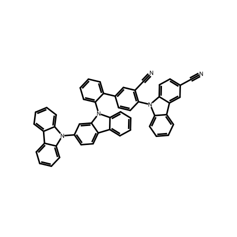 N#Cc1ccc2c(c1)c1ccccc1n2-c1ccc(-c2ccccc2-n2c3ccccc3c3ccc(-n4c5ccccc5c5ccccc54)cc32)cc1C#N